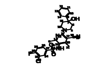 Cc1nc(N2CCC(O)(c3ccccc3)CC2)c(C#N)c(C)c1NS(=O)(=O)c1ccc(F)c(Cl)c1